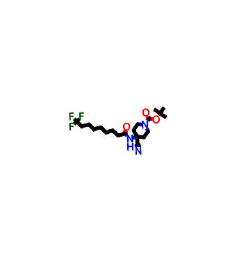 CC(C)(C)OC(=O)N1CCC(C#N)(NC(=O)CCCCCCCC(F)(F)F)CC1